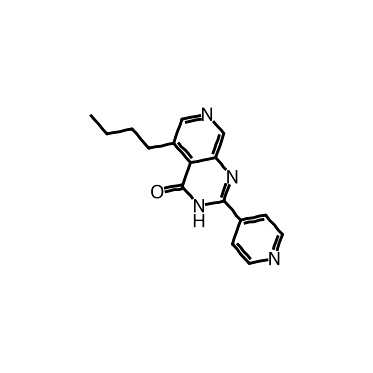 CCCCc1cncc2nc(-c3ccncc3)[nH]c(=O)c12